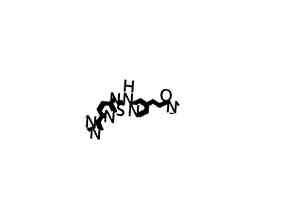 CN(C)C(=O)CCc1ccnc(Nc2nc3ccc(-c4cncn4C)nc3s2)c1